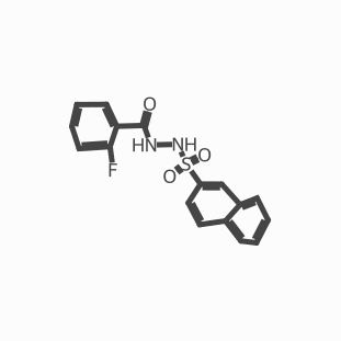 O=C(NNS(=O)(=O)c1ccc2ccccc2c1)c1ccccc1F